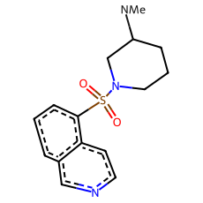 CNC1CCCN(S(=O)(=O)c2cccc3cnccc23)C1